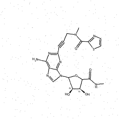 CNC(=O)C1OC(n2cnc3c(N)nc(C#CCN(C)C(=O)c4nccs4)nc32)[C@H](O)[C@@H]1O